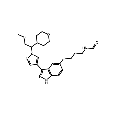 COCC(C1CCOCC1)n1cc(-c2n[nH]c3ccc(OCCCNC=O)cc23)cn1